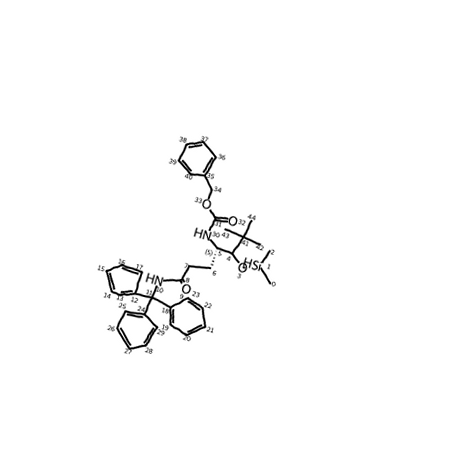 C[SiH](C)OC([C@H](CCC(=O)NC(c1ccccc1)(c1ccccc1)c1ccccc1)NC(=O)OCc1ccccc1)C(C)(C)C